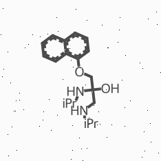 CC(C)NCC(O)(COc1cccc2ccccc12)NC(C)C